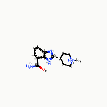 CCC[N@H+]1CC[C@H](c2nc3cccc(C(N)=O)c3[nH]2)CC1